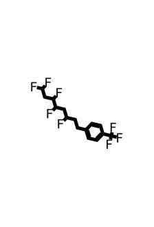 FC(F)CC(F)C(F)CC(F)CCc1ccc(C(F)(F)F)cc1